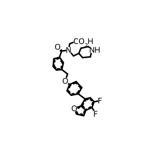 O=C(O)CN(CC1CCNCC1)C(=O)c1cccc(COc2ccc(-c3cc(F)c(F)c4ccoc34)cc2)c1